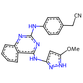 COc1cc(Nc2nc(Nc3ccc(CC#N)cc3)nc3ccccc23)n[nH]1